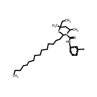 CCCCCCCCCCCCCCCC1SC(C)(CC)CC(C)N1C(=S)Nc1cccc(I)c1